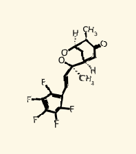 C[C@H]1C(=O)C[C@@H]2C[C@H]1OO[C@]2(C)/C=C/c1c(F)c(F)c(F)c(F)c1F